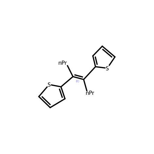 CCC/C(=C(/CCC)c1cccs1)c1cccs1